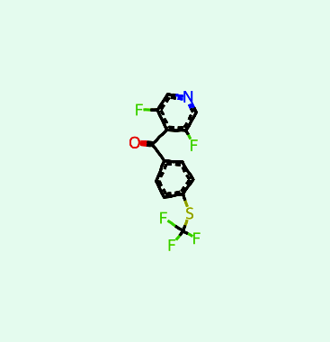 O=C(c1ccc(SC(F)(F)F)cc1)c1c(F)cncc1F